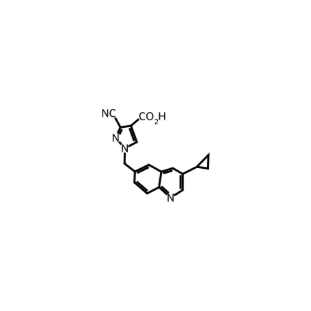 N#Cc1nn(Cc2ccc3ncc(C4CC4)cc3c2)cc1C(=O)O